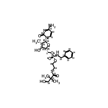 C[C@H]1[C@H](O)[C@@H](COP(=O)(NCc2ccccc2)OCCSC(=O)C(C)(C)CO)O[C@H]1n1ccc(N)nc1=O